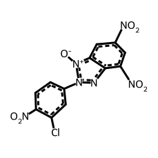 O=[N+]([O-])c1cc([N+](=O)[O-])c2nn(-c3ccc([N+](=O)[O-])c(Cl)c3)[n+]([O-])c2c1